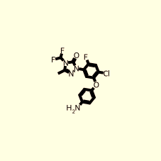 Cc1nn(-c2cc(Oc3ccc(N)cc3)c(Cl)cc2F)c(=O)n1C(F)F